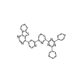 c1ccc(-c2nc(-c3ccccc3)nc(-c3cccc(-c4cc(-c5ncnc6c5sc5ccccc56)ccn4)n3)n2)cc1